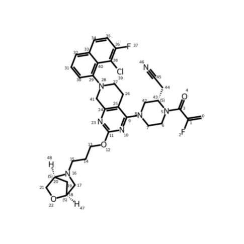 C=C(F)C(=O)N1CCN(c2nc(OCCCN3C[C@@H]4C[C@H]3CO4)nc3c2CCN(c2cccc4ccc(F)c(Cl)c24)C3)C[C@@H]1CC#N